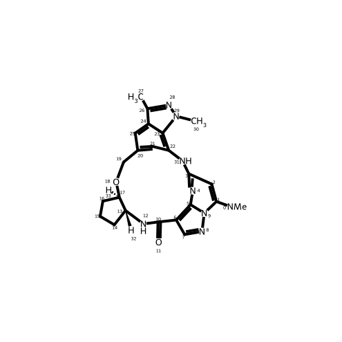 CNc1cc2nc3c(cnn13)C(=O)N[C@@H]1CCC[C@H]1OCc1cc(c3c(c1)c(C)nn3C)N2